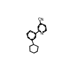 N#Cc1ccnc(-c2cccc(C3CCCCC3)c2)c1